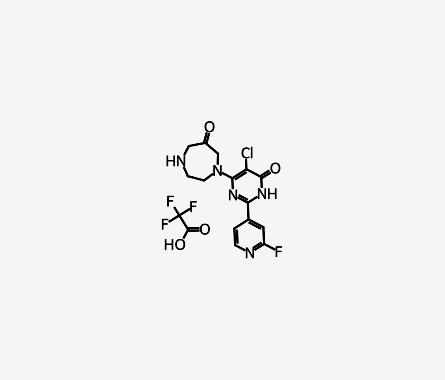 O=C(O)C(F)(F)F.O=C1CNCCN(c2nc(-c3ccnc(F)c3)[nH]c(=O)c2Cl)C1